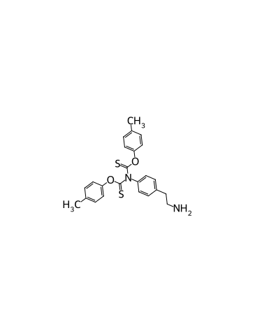 Cc1ccc(OC(=S)N(C(=S)Oc2ccc(C)cc2)c2ccc(CCN)cc2)cc1